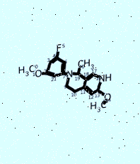 COc1cc(F)cc(N2CCC3=CC(OC)NC=C3C2C)c1